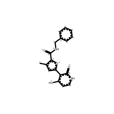 Cc1cc(-c2c(O)cc[nH]c2=O)sc1C(=O)NCc1ccccc1